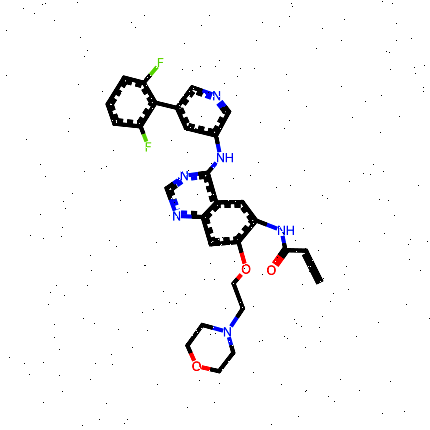 C=CC(=O)Nc1cc2c(Nc3cncc(-c4c(F)cccc4F)c3)ncnc2cc1OCCN1CCOCC1